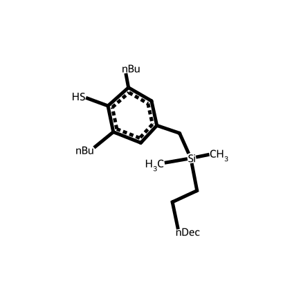 CCCCCCCCCCCC[Si](C)(C)Cc1cc(CCCC)c(S)c(CCCC)c1